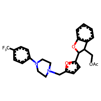 CC(=O)OCC1c2ccccc2OC1c1ccc(CN2CCN(c3ccc(C(F)(F)F)cc3)CC2)o1